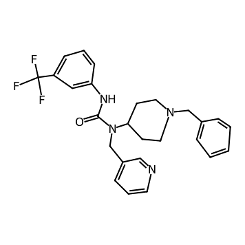 O=C(Nc1cccc(C(F)(F)F)c1)N(Cc1cccnc1)C1CCN(Cc2ccccc2)CC1